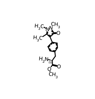 COC(=O)[C@@H](N)Cc1ccc(-c2c(C)n(C)n(C)c2=O)cc1